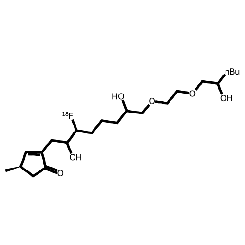 CCCCC(O)COCCOCC(O)CCCC([18F])C(O)CC1=C[C@H](C)CC1=O